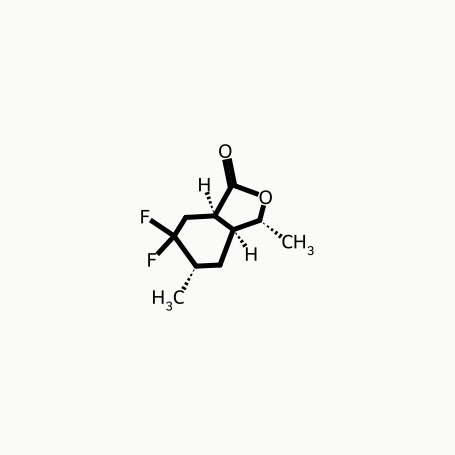 C[C@H]1OC(=O)[C@@H]2CC(F)(F)[C@@H](C)C[C@H]12